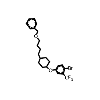 FC(F)(F)c1cc(OC2CCC(CCCCOCc3ccccc3)CC2)ccc1Br